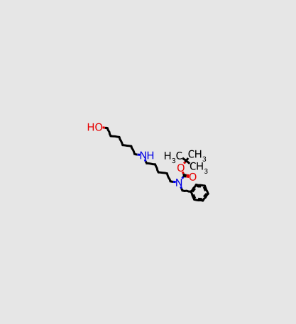 CC(C)(C)OC(=O)N(CCCCCNCCCCCCO)Cc1ccccc1